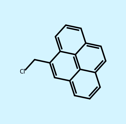 ClCc1cc2cccc3ccc4cccc1c4c32